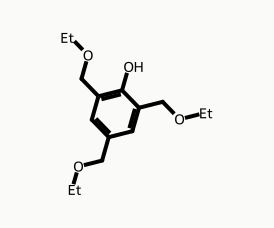 CCOCc1cc(COCC)c(O)c(COCC)c1